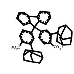 O=C(O)c1ccc(C2(c3ccc(C(=O)O)c(C45CC6CC(CC(C6)C4)C5)c3)c3ccccc3-c3ccccc32)cc1C12CC3CC(CC(C3)C1)C2